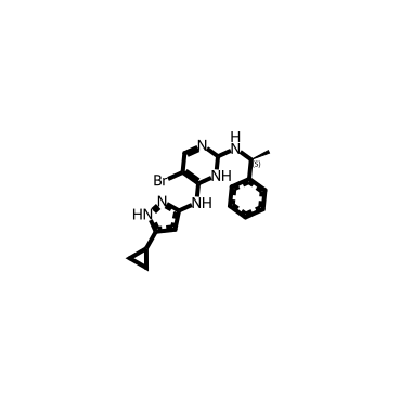 C[C@H](NC1N=CC(Br)=C(Nc2cc(C3CC3)[nH]n2)N1)c1ccccc1